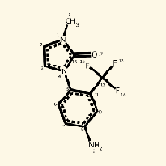 Cn1ccn(-c2ccc(N)cc2C(F)(F)F)c1=O